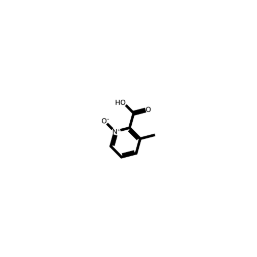 Cc1ccc[n+]([O-])c1C(=O)O